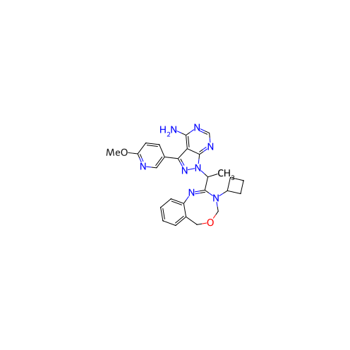 COc1ccc(-c2nn(C(C)/C3=N/c4ccccc4COCN3C3CCC3)c3ncnc(N)c23)cn1